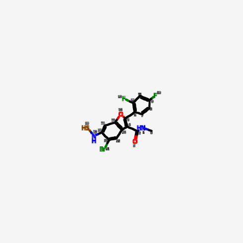 CNC(=O)c1c(-c2ccc(F)cc2F)oc2cc(NS)c(Br)cc12